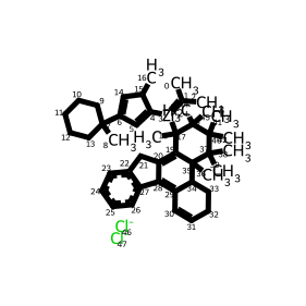 C[C](C)=[Zr+2]([C]1=CC(C2(C)CCCCC2)=CC1C)[C]1(C)C2=C3Cc4ccccc4C3=C3C=CCCC3C2(C)C(C)(C)C(C)(C)C1(C)C.[Cl-].[Cl-]